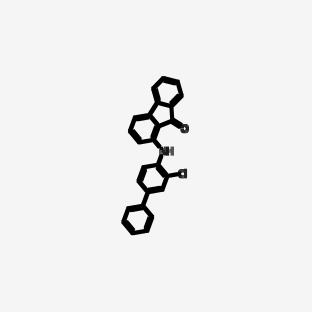 O=C1c2ccccc2-c2cccc(Nc3ccc(-c4ccccc4)cc3Cl)c21